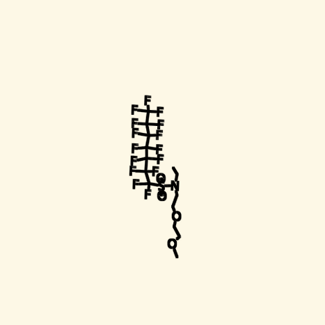 CCN(CCOCCOC)S(=O)(=O)C(F)(F)C(F)(F)C(F)(F)C(F)(F)C(F)(F)C(F)(F)C(F)(F)F